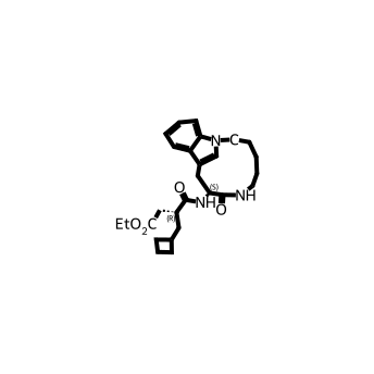 CCOC(=O)C[C@@H](CC1CCC1)C(=O)N[C@H]1Cc2cn(c3ccccc23)CCCCCNC1=O